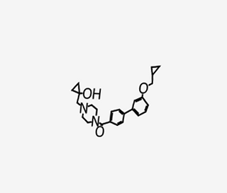 O=C(c1ccc(-c2cccc(OCC3CC3)c2)cc1)N1CCN(CC2(O)CC2)CC1